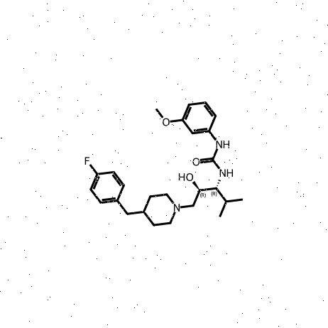 COc1cccc(NC(=O)N[C@H](C(C)C)[C@H](O)CN2CCC(Cc3ccc(F)cc3)CC2)c1